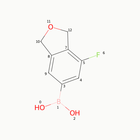 OB(O)c1cc(F)c2c(c1)COC2